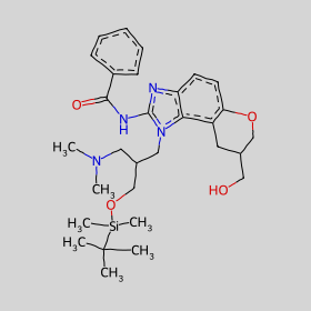 CN(C)CC(CO[Si](C)(C)C(C)(C)C)Cn1c(NC(=O)c2ccccc2)nc2ccc3c(c21)CC(CO)CO3